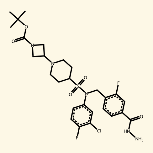 CC(C)(C)OC(=O)N1CC(N2CCC(S(=O)(=O)N(Cc3ccc(C(=O)NN)cc3F)c3ccc(F)c(Cl)c3)CC2)C1